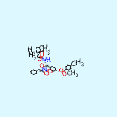 Cc1ccc(C(=O)OCc2ccc([C@@H](CCNC(=O)OC(C)(C)C)C(=O)N3C(=O)OC[C@H]3Cc3ccccc3)cc2)c(C)c1